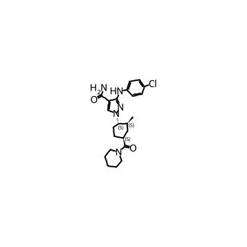 C[C@H]1C[C@@H](C(=O)N2CCCCC2)CC[C@@H]1n1cc(C(N)=O)c(Nc2ccc(Cl)cc2)n1